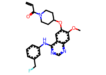 C=CC(=O)N1CCC(Oc2cc3c(Nc4cccc(CF)c4)ncnc3cc2OC)CC1